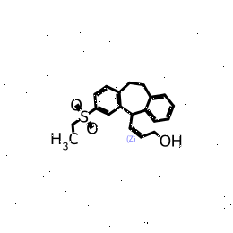 CCS(=O)(=O)c1ccc2c(c1)C(/C=C\CO)c1ccccc1CC2